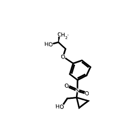 [CH2][C@H](O)COc1cccc(S(=O)(=O)C2(CO)CC2)c1